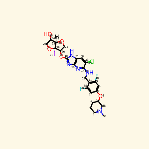 CN1CCCC(Oc2cc(F)c(CNc3nc4nc(O[C@@H]5CO[C@@H]6[C@H](O)CO[C@@]65I)[nH]c4cc3Cl)c(F)c2)C1